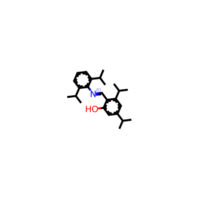 CC(C)c1cc(O)c(/C=N/c2c(C(C)C)cccc2C(C)C)c(C(C)C)c1